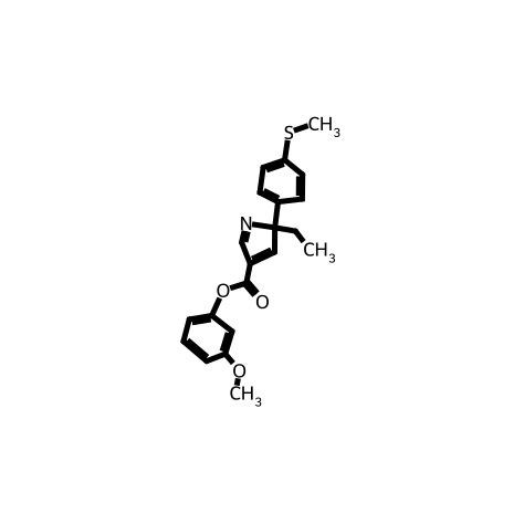 CCC1(c2ccc(SC)cc2)C=C(C(=O)Oc2cccc(OC)c2)C=N1